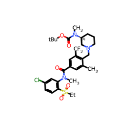 CCS(=O)(=O)c1ccc(Cl)cc1N(C)C(=O)c1cc(C)c(CN2CCC[C@H](N(C)C(=O)OC(C)(C)C)C2)c(C(F)(F)F)c1